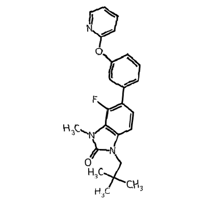 Cn1c(=O)n(CC(C)(C)C)c2ccc(-c3cccc(Oc4ccccn4)c3)c(F)c21